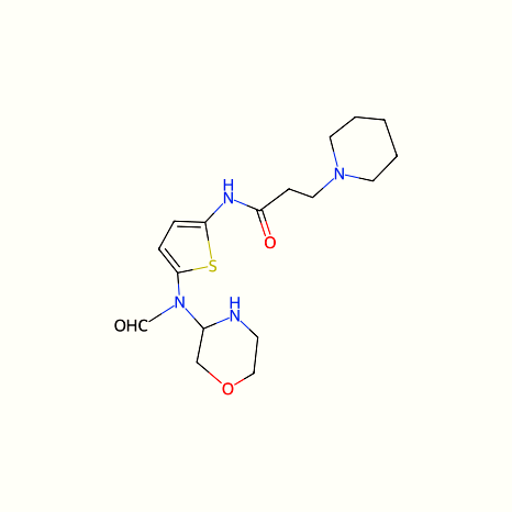 O=CN(c1ccc(NC(=O)CCN2CCCCC2)s1)C1COCCN1